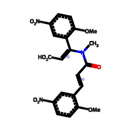 COc1ccc([N+](=O)[O-])cc1/C=C/C(=O)N(C)/C(=C/C(=O)O)c1cc([N+](=O)[O-])ccc1OC